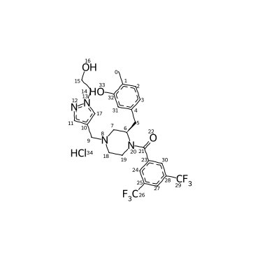 Cc1ccc(C[C@@H]2CN(Cc3cnn(CCO)c3)CCN2C(=O)c2cc(C(F)(F)F)cc(C(F)(F)F)c2)cc1O.Cl